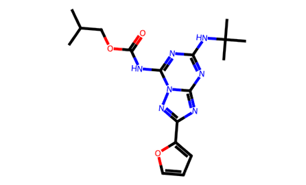 CC(C)COC(=O)Nc1nc(NC(C)(C)C)nc2nc(-c3ccco3)nn12